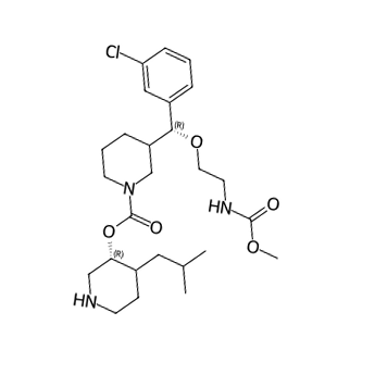 COC(=O)NCCO[C@@H](c1cccc(Cl)c1)C1CCCN(C(=O)O[C@H]2CNCCC2CC(C)C)C1